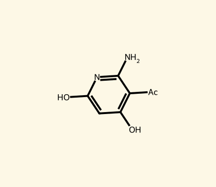 CC(=O)c1c(O)cc(O)nc1N